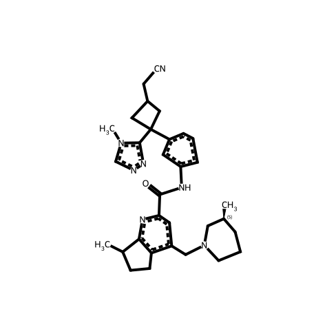 CC1CCc2c(CN3CCC[C@H](C)C3)cc(C(=O)Nc3cccc(C4(c5nncn5C)CC(CC#N)C4)c3)nc21